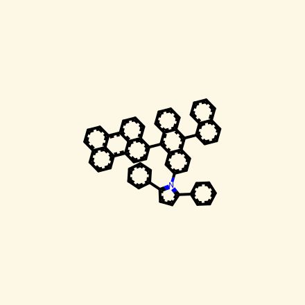 c1ccc(-c2ccc(-c3ccccc3)n2-c2ccc3c(-c4cccc5ccccc45)c4ccccc4c(-c4ccc5c6cccc7cccc(c8cccc4c85)c76)c3c2)cc1